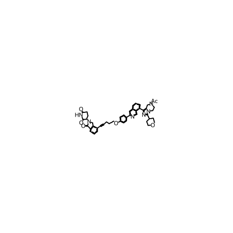 CC(=O)N1CCn2c(C3CCOCC3)nc(-c3cccc4cc(-c5ccc(OCCCC#Cc6cccc7c6CN(C6CCC(=O)NC6=O)C7=O)cc5)ncc34)c2C1